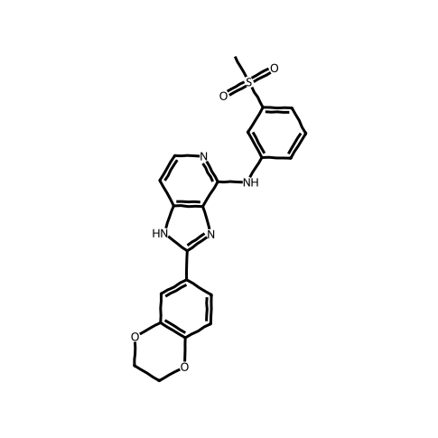 CS(=O)(=O)c1cccc(Nc2nccc3[nH]c(-c4ccc5c(c4)OCCO5)nc23)c1